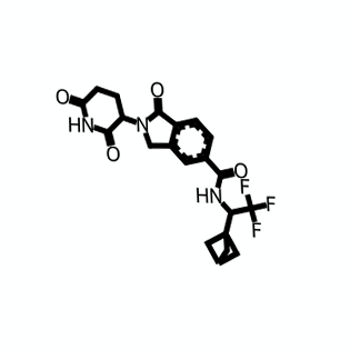 O=C1CCC(N2Cc3cc(C(=O)NC(C(F)(F)F)C45CC(C4)C5)ccc3C2=O)C(=O)N1